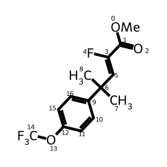 COC(=O)C(F)=CC(C)(C)c1ccc(OC(F)(F)F)cc1